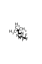 CC(C)(C)c1nnn(C(F)(F)F)n1